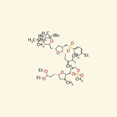 C=C(CC[C@@H]1O[C@H](C[C@@H](CO[Si](C)(C)C(C)(C)C)O[Si](C)(C)C(C)(C)C)C[C@H]1CS(=O)(=O)c1ccc(CC)cc1)C(C)C[C@@H](CC[C@@H]1O[C@@H](CCC(OCC)OCC)CC1=C)OS(C)(=O)=O